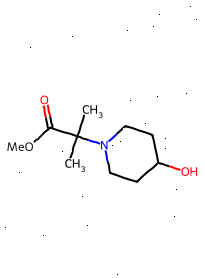 COC(=O)C(C)(C)N1CCC(O)CC1